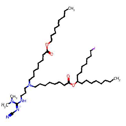 CCCCCCCCCOC(=O)CCCCCCCN(CCCCCCCC(=O)OC(CCCCCCCC)CCCCCCCI)CCCN/C(=N/C#N)N(C)C